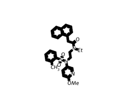 CCN(CCN(c1ccc(OC)nc1)S(=O)(=O)c1ccccc1C)C(=O)Cc1cccc2ccccc12